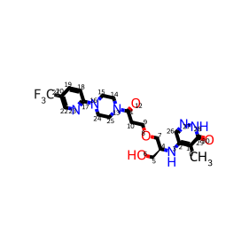 Cc1c(N[C@@H](CO)COCCC(=O)N2CCN(c3ccc(C(F)(F)F)cn3)CC2)cn[nH]c1=O